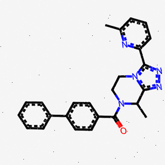 Cc1cccc(-c2nnc3n2CCN(C(=O)c2ccc(-c4ccccc4)cc2)C3C)n1